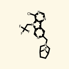 CN1C2CCC1CN(Cc1cc3c4ncnc(Cl)c4n(CC(F)(F)F)c3cn1)C2